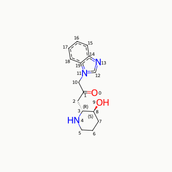 O=C(C[C@H]1NCCC[C@@H]1O)Cn1cnc2ccccc21